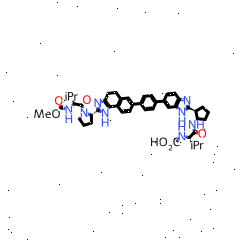 COC(=O)N[C@H](C(=O)N1CCC[C@H]1c1nc2c([nH]1)-c1ccc(-c3ccc(-c4ccc5nc([C@H]6CCC[C@@H]6NC(=O)[C@@H](NC(=O)O)C(C)C)[nH]c5c4)cc3)cc1CC2)C(C)C